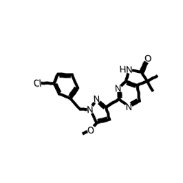 COc1cc(-c2ncc3c(n2)NC(=O)C3(C)C)nn1Cc1cccc(Cl)c1